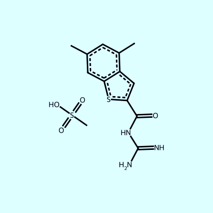 CS(=O)(=O)O.Cc1cc(C)c2cc(C(=O)NC(=N)N)sc2c1